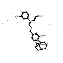 O=C(O)C=C/C(=C\CCc1ccc(C23CC4CC(CC(C4)C2)C3)c(O)c1)c1cccc(C(F)(F)F)c1